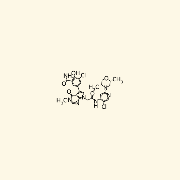 C[C@@H]1CN(c2cc(NC(=O)Cn3cc(-c4cc(Cl)c(O)c(C(N)=O)c4)c4c(=O)n(C)cnc43)c(Cl)cn2)[C@H](C)CO1